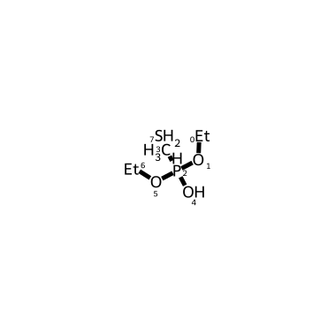 CCO[PH](C)(O)OCC.S